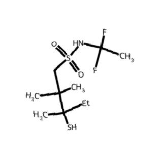 CCC(C)(S)C(C)(C)CS(=O)(=O)NC(C)(F)F